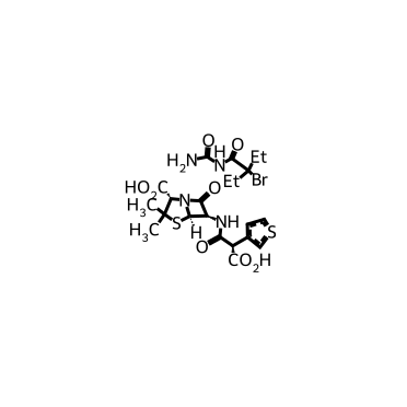 CC1(C)S[C@@H]2[C@H](NC(=O)[C@H](C(=O)O)c3ccsc3)C(=O)N2[C@H]1C(=O)O.CCC(Br)(CC)C(=O)NC(N)=O